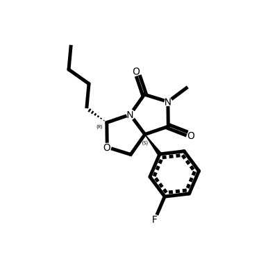 CCCC[C@H]1OC[C@@]2(c3cccc(F)c3)C(=O)N(C)C(=O)N12